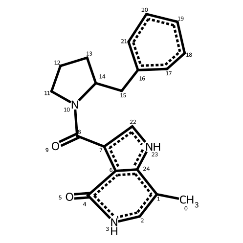 Cc1c[nH]c(=O)c2c(C(=O)N3CCCC3Cc3ccccc3)c[nH]c12